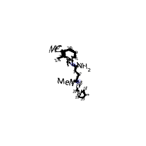 CN/C(CC/C(N)=N/N1CC=CC(C#N)=C1C)=N\CN1CCCC1